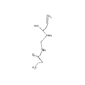 C=CC(O)NCNC(=O)CC